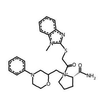 Cn1c(SCC(=O)[N+]2(CC3CN(c4ccccc4)CCO3)CCC[C@H]2C(N)=O)nc2ccccc21